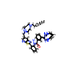 COCCN1CCN(Cc2cnc3sc(-c4ccccc4NC(=O)c4cccc(-c5ncccn5)c4)nc3c2)CC1